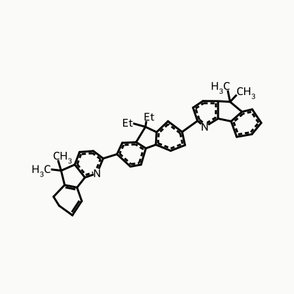 CCC1(CC)c2cc(-c3ccc4c(n3)C3=C(CCC=C3)C4(C)C)ccc2-c2ccc(-c3ccc4c(n3)-c3ccccc3C4(C)C)cc21